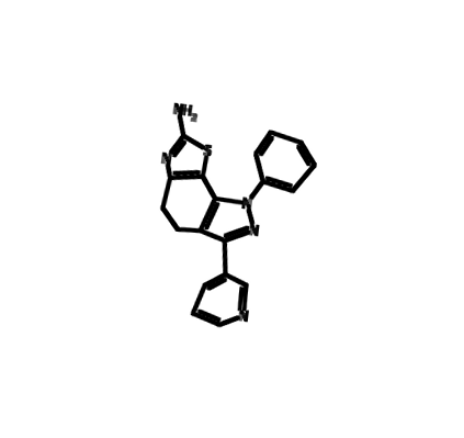 Nc1nc2c(s1)-c1c(c(-c3cccnc3)nn1-c1ccccc1)CC2